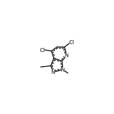 Cc1nn(C)c2nc(Cl)cc(Cl)c12